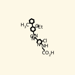 CCOc1cc(-c2nc(-c3cnc(NCCC(=O)O)c(Cl)c3)no2)ccc1-c1ccccc1C